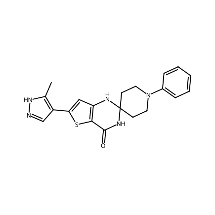 Cc1[nH]ncc1-c1cc2c(s1)C(=O)NC1(CCN(c3ccccc3)CC1)N2